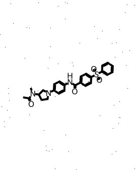 CC(=O)N(C)C1CCN(c2ccc(NC(=O)c3ccc(S(=O)(=O)c4ccccc4)cc3)cc2)C1